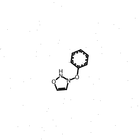 [c]1ccccc1ON1C=CON1